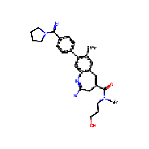 CCCN(CCCO)C(=O)C1=Cc2cc(OC)c(-c3ccc(C(=N)N4CCCC4)cc3)cc2N=C(N)C1